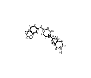 c1cc2c(cc1CN1CCN(c3nc4c(s3)CNCC4)CC1)OCO2